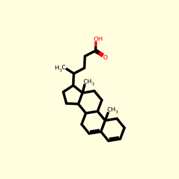 CC(CCC(=O)O)C1CCC2C3CC=C4C=CCCC4(C)C3CCC12C